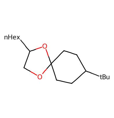 CCCCCCC1COC2(CCC(C(C)(C)C)CC2)O1